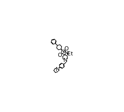 CCN1C(=O)N(C2CCC(c3ccccc3)CC2)C(=O)C12CCN(Cc1ccc(N3CCCC3)cc1)CC2